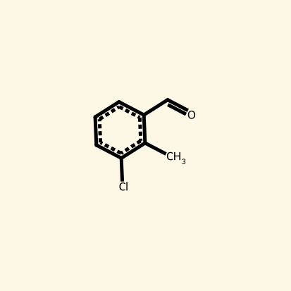 Cc1c(Cl)cccc1C=O